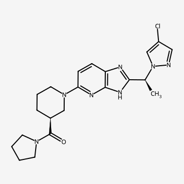 C[C@@H](c1nc2ccc(N3CCC[C@H](C(=O)N4CCCC4)C3)nc2[nH]1)n1cc(Cl)cn1